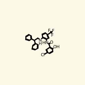 O=C(Nc1cc(C(F)(F)F)ccc1NCC(c1ccccc1)c1ccccc1)c1cc(Cl)ccc1O